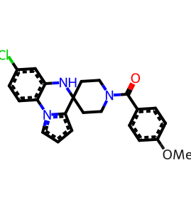 COc1ccc(C(=O)N2CCC3(CC2)Nc2cc(Cl)ccc2-n2cccc23)cc1